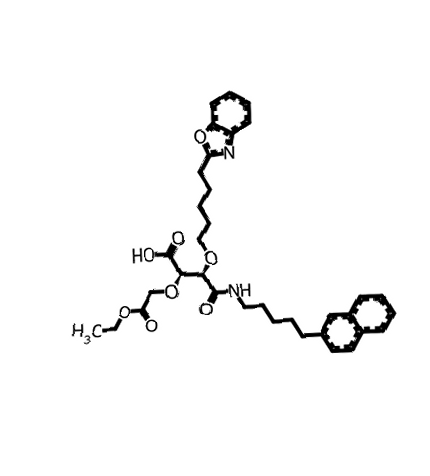 CCOC(=O)CO[C@@H](C(=O)O)[C@@H](OCCCCCc1nc2ccccc2o1)C(=O)NCCCCCc1ccc2ccccc2c1